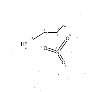 CCCC.F.O=S(=O)=O